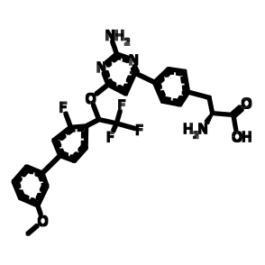 COc1cccc(-c2ccc(C(Oc3cc(-c4ccc(C[C@H](N)C(=O)O)cc4)nc(N)n3)C(F)(F)F)c(F)c2)c1